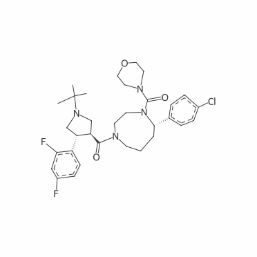 CC(C)(C)N1C[C@@H](C(=O)N2CCC[C@@H](c3ccc(Cl)cc3)N(C(=O)N3CCOCC3)CC2)[C@H](c2ccc(F)cc2F)C1